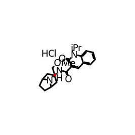 COCCN1C2CCC1CC(NC(=O)c1cc3ccccc3n(C(C)C)c1=O)C2.Cl